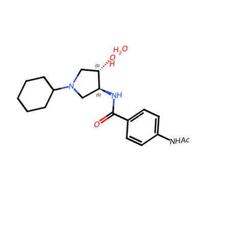 CC(=O)Nc1ccc(C(=O)N[C@H]2CN(C3CCCCC3)C[C@@H]2O)cc1.O